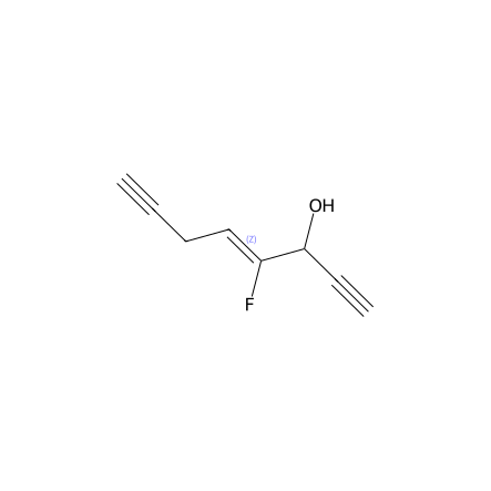 C#CC/C=C(\F)C(O)C#C